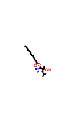 CCCCCCCCC(=O)OC(N(C)C)C(C)(O)CC(C)C